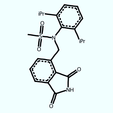 CC(C)c1cccc(C(C)C)c1N(Cc1cccc2c1C(=O)NC2=O)S(C)(=O)=O